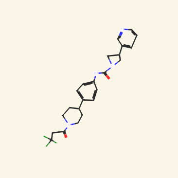 O=C(CC(F)(F)F)N1CCC(c2ccc(NC(=O)N3CC(c4cccnc4)C3)cc2)CC1